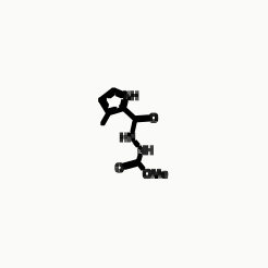 COC(=O)NNC(=O)c1[nH]ccc1C